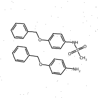 CS(=O)(=O)Nc1ccc(OCc2ccccc2)cc1.Nc1ccc(OCc2ccccc2)cc1